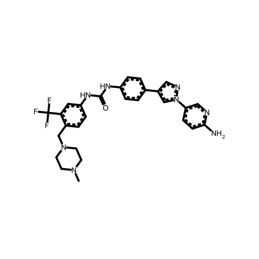 CN1CCN(Cc2ccc(NC(=O)Nc3ccc(-c4cnn(-c5ccc(N)nc5)c4)cc3)cc2C(F)(F)F)CC1